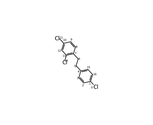 Clc1ccc([CH]Cc2ccc(Cl)cc2Cl)cc1